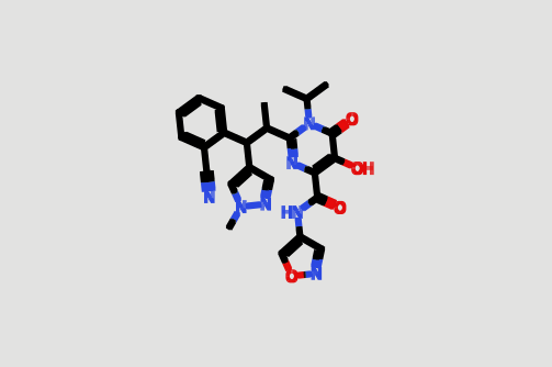 CC(c1nc(C(=O)Nc2cnoc2)c(O)c(=O)n1C(C)C)C(c1cnn(C)c1)c1ccccc1C#N